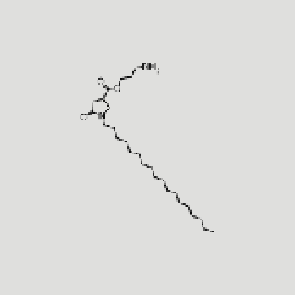 CCCCCCCCCCCCCCCCCCN1CC(C(=O)OCCCN)CC1=O